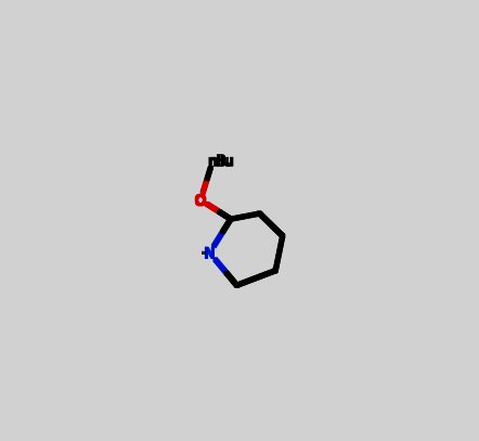 CCCCOC1CCCC[N]1